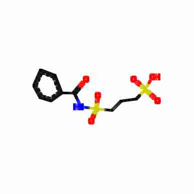 O=C(NS(=O)(=O)CCCS(=O)(=O)O)c1ccccc1